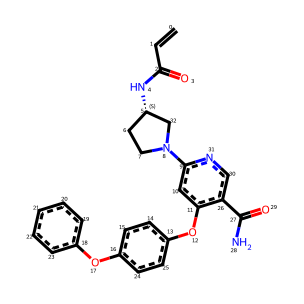 C=CC(=O)N[C@H]1CCN(c2cc(Oc3ccc(Oc4ccccc4)cc3)c(C(N)=O)cn2)C1